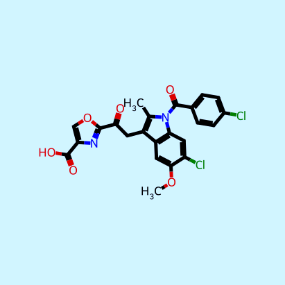 COc1cc2c(CC(=O)c3nc(C(=O)O)co3)c(C)n(C(=O)c3ccc(Cl)cc3)c2cc1Cl